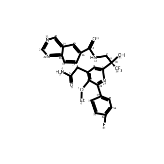 CCOc1c(CC(N)=O)cc([C@@](O)(CNC(=O)c2ccc3ncncc3c2)C(F)(F)F)nc1-c1ccc(F)cc1